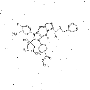 CC[C@@](O)(COC)c1c(-c2ccc(C(=O)OC)cc2)c2c(F)c3c(cnn3C(=O)OCc3ccccc3)cc2n1-c1ccc(F)c(C)c1